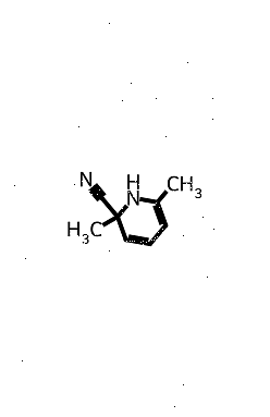 CC1=CC=CC(C)(C#N)N1